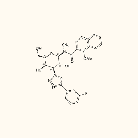 COc1c(C(=O)N(C)[C@@H]2O[C@H](CO)[C@H](O)[C@H](n3cc(-c4cccc(F)c4)nn3)[C@H]2O)ccc2ccccc12